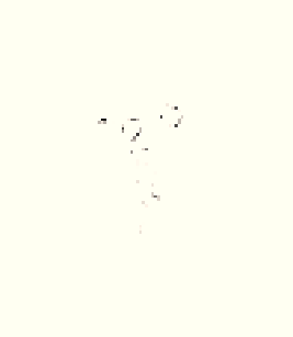 Cc1cc(Cl)cc(Oc2ccc(C#N)cc2S(=O)(=O)N2CCN(C(=O)NCCCl)CC2)c1